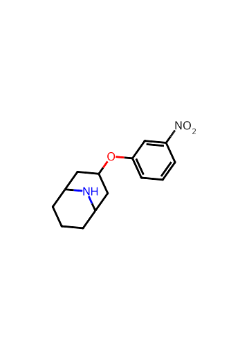 O=[N+]([O-])c1cccc(OC2CC3CCCC(C2)N3)c1